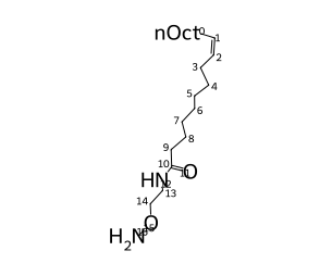 CCCCCCCC/C=C\CCCCCCCC(=O)NCCON